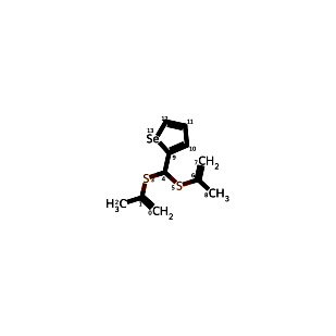 C=C(C)SC(SC(=C)C)c1ccc[se]1